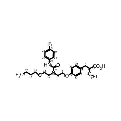 CCOC(Cc1ccc(OCCN(CCOCCCC(F)(F)F)C(=O)Nc2ccc(F)cc2)cc1)C(=O)O